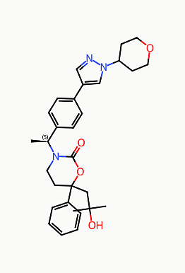 C[C@@H](c1ccc(-c2cnn(C3CCOCC3)c2)cc1)N1CCC(CC(C)(C)O)(c2ccccc2)OC1=O